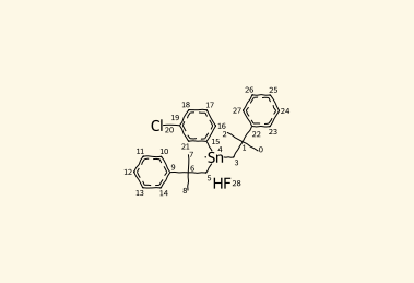 CC(C)([CH2][Sn]([CH2]C(C)(C)c1ccccc1)[c]1cccc(Cl)c1)c1ccccc1.F